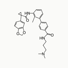 Cc1c(NC(=O)C2(c3ccc4c(c3)OCO4)CC2)cccc1-c1ccc(C(=O)NCCCN(C)C)cc1